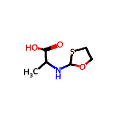 CC(NC1OCCS1)C(=O)O